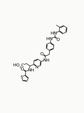 Cc1ccccc1NC(=O)Nc1ccc(CC(=O)Nc2ccc(C(CC(=O)O)NC(=O)c3cccs3)nc2)cc1